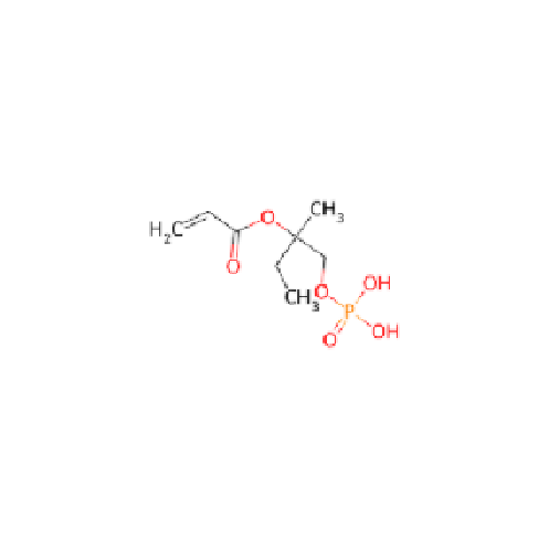 C=CC(=O)OC(C)(CC)COP(=O)(O)O